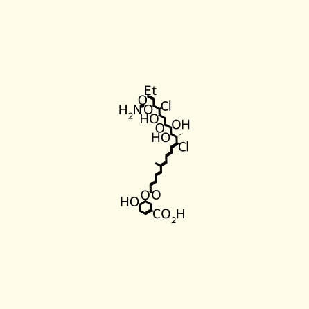 CC/C=C/[C@@H](OC(N)=O)[C@@H](Cl)[C@H](O)CC(=O)[C@@H](O)[C@H](O)[C@H](C)/C(Cl)=C/C=C/C=C(C)/C=C/C=C/C(=O)O[C@@H]1CC(C(=O)O)=CC[C@@H]1O